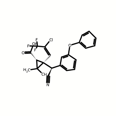 CC1(C)[C@H](C(=O)O)[C@@]1(/C=C(/Cl)C(F)(F)F)[C@H](C#N)c1cccc(Oc2ccccc2)c1